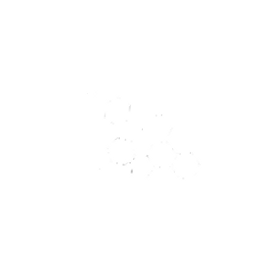 Oc1ccc(C2(c3ccc(O)cc3)C=CC=c3c2c2c(c4ccccc34)=CC=C2)cc1